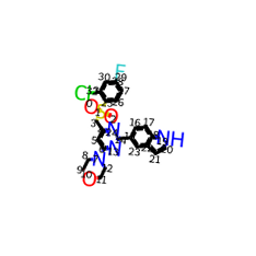 O=S(=O)(Cc1cc(N2CCOCC2)nc(-c2ccc3[nH]ccc3c2)n1)c1ccc(F)cc1Cl